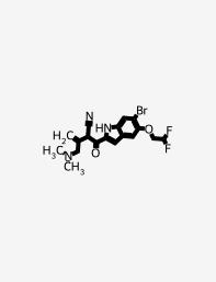 C=C(CN(C)C)C(C#N)C(=O)c1cc2cc(OCC(F)F)c(Br)cc2[nH]1